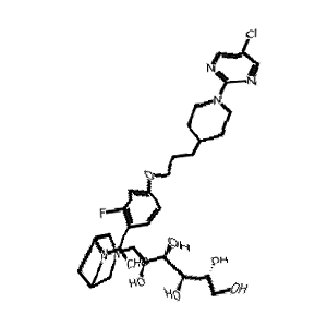 O=CC(c1ccc(OCCCC2CCN(c3ncc(Cl)cn3)CC2)cc1F)N1C2CC1CN(C[C@H](O)[C@@H](O)[C@H](O)[C@H](O)CO)C2